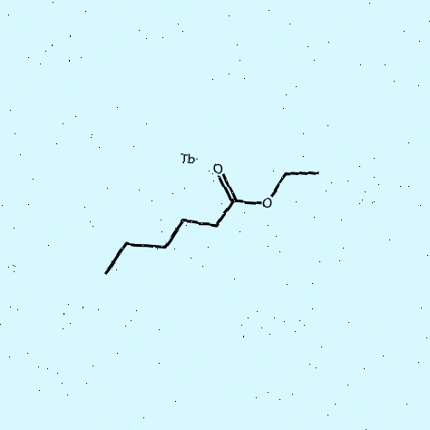 CCCCCC(=O)OCC.[Tb]